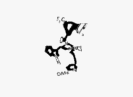 COc1ccc(CCCN2CCN(C(=O)c3cc(C(F)(F)F)cc(C(F)(F)F)c3)[C@H](Cc3c[nH]c4ccccc34)C2)cn1.Cl.Cl